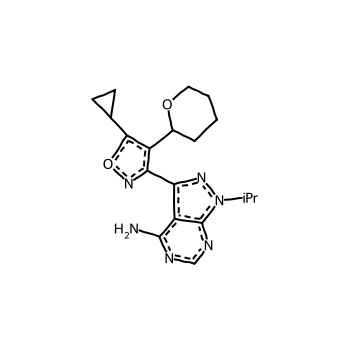 CC(C)n1nc(-c2noc(C3CC3)c2C2CCCCO2)c2c(N)ncnc21